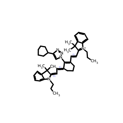 CCCN1/C(=C/C=C2\CCCC(/C=C/C3=[N+](CCC)c4ccccc4C3(C)C)=C2n2cc(C3CCCCC3)nn2)C(C)(C)c2ccccc21